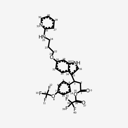 O=C(CC(c1ccc(OC(F)(F)F)cc1)c1c[nH]c2cc(OCCCNc3ccccn3)ccc12)OC(=O)C(F)(F)F